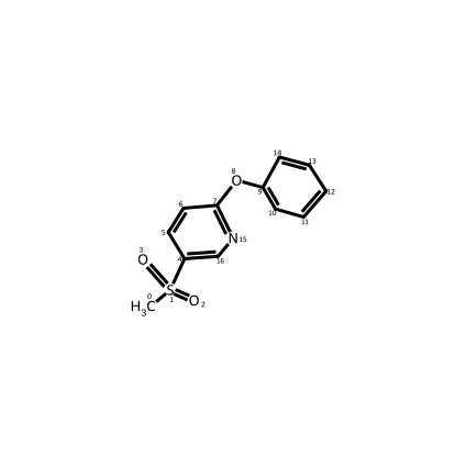 CS(=O)(=O)c1ccc(Oc2ccccc2)nc1